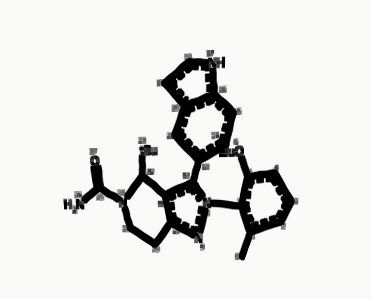 Cc1cccc(OCC(C)C)c1-n1nc2c(c1-c1ccc3[nH]ccc3c1)C(C(C)(C)C)N(C(N)=O)CC2